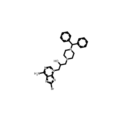 Nc1ncn(CC(O)CN2CCN(C(c3ccccc3)c3ccccc3)CC2)c2nc(Br)nc1-2